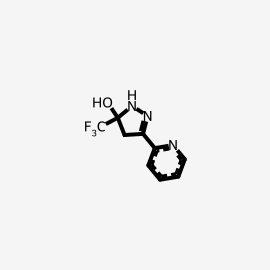 OC1(C(F)(F)F)CC(c2ccccn2)=NN1